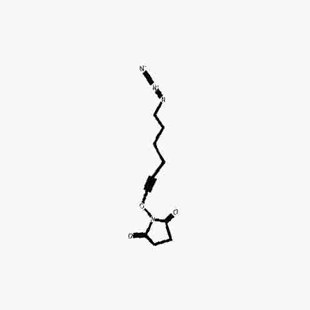 [N-]=[N+]=NCCCCC#CON1C(=O)CCC1=O